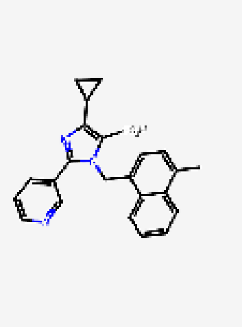 Cc1ccc(Cn2c(-c3cccnc3)nc(C3CC3)c2C(=O)O)c2ccccc12